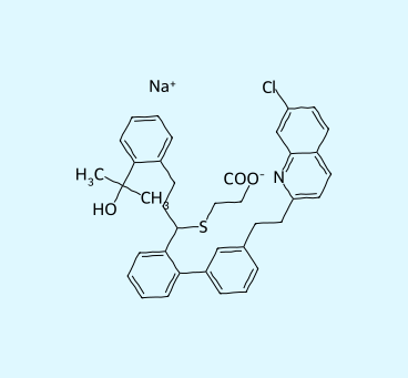 CC(C)(O)c1ccccc1CCC(SCCC(=O)[O-])c1ccccc1-c1cccc(CCc2ccc3ccc(Cl)cc3n2)c1.[Na+]